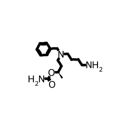 C[C@H](CCN(CCCCN)Cc1ccccc1)OC(N)=O